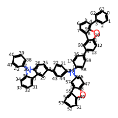 c1ccc(-c2cccc3c2oc2ccc(-c4ccc(N(c5ccc(-c6ccc7c(c6)c6ccccc6n7-c6ccccc6)cc5)c5ccc6oc7ccccc7c6c5)cc4)cc23)cc1